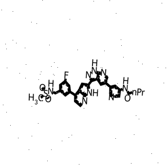 CCCC(=O)Nc1cncc(-c2cnc3[nH]nc(-c4cc5c(-c6cc(F)cc(CNS(C)(=O)=O)c6)ccnc5[nH]4)c3c2)c1